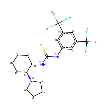 FC(F)(F)c1cc(NC(=S)N[C@H]2CCCC[C@@H]2N2CCCC2)cc(C(F)(F)F)c1